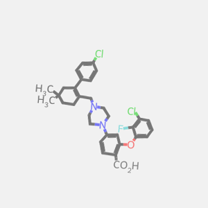 CC1(C)CCC(CN2CCN(c3ccc(C(=O)O)c(Oc4cccc(Cl)c4F)c3)CC2)=C(c2ccc(Cl)cc2)C1